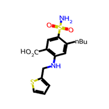 CCCCc1cc(NCc2cccs2)c(C(=O)O)cc1S(N)(=O)=O